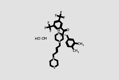 Cc1ccc(C[C@]2(C(=O)c3cc(C(F)(F)F)cc(C(F)(F)F)c3)CN(CC=CCN3CCSCC3)CCN2)cc1C.Cl.Cl